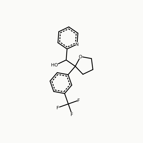 OC(c1ccccn1)C1(c2cccc(C(F)(F)F)c2)CCCO1